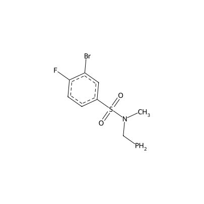 CN(CP)S(=O)(=O)c1ccc(F)c(Br)c1